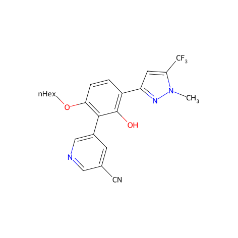 CCCCCCOc1ccc(-c2cc(C(F)(F)F)n(C)n2)c(O)c1-c1cncc(C#N)c1